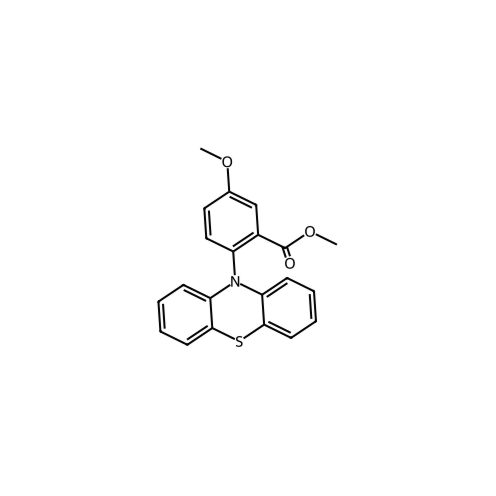 COC(=O)c1cc(OC)ccc1N1c2ccccc2Sc2ccccc21